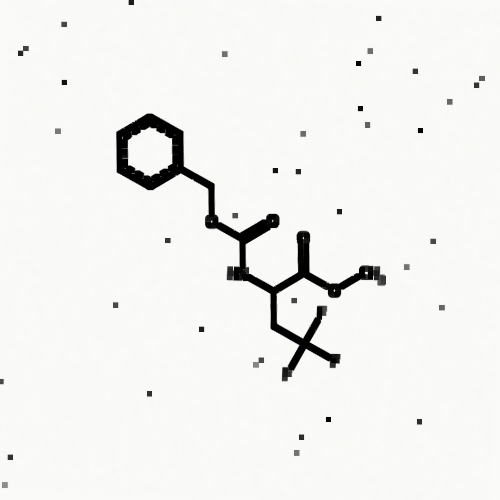 COC(=O)C(CC(F)(F)F)NC(=O)OCc1ccccc1